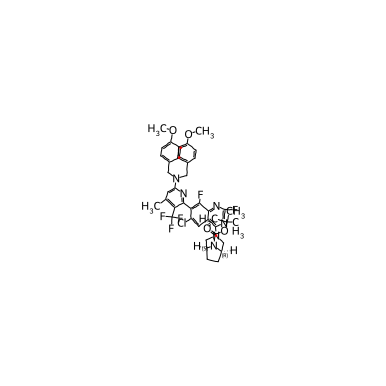 COc1ccc(CN(Cc2ccc(OC)cc2)c2cc(C)c(C(F)(F)F)c(-c3c(Cl)cc4c(N5C[C@H]6CC[C@@H](C5)N6C(=O)OC(C)(C)C)nc(F)nc4c3F)n2)cc1